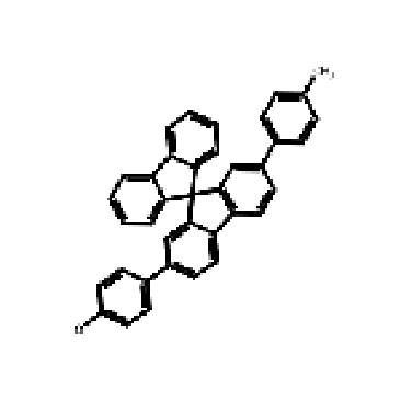 Cc1ccc(-c2ccc3c(c2)C2(c4ccccc4-c4ccccc42)c2cc(-c4ccc(O)cc4)ccc2-3)cc1